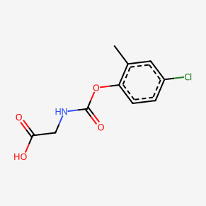 Cc1cc(Cl)ccc1OC(=O)NCC(=O)O